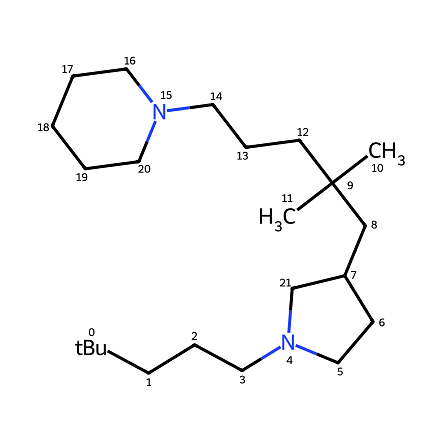 CC(C)(C)CCCN1CCC(CC(C)(C)CCCN2CCCCC2)C1